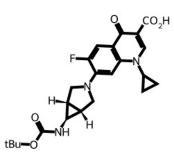 CC(C)(C)OC(=O)N[C@H]1[C@@H]2CN(c3cc4c(cc3F)c(=O)c(C(=O)O)cn4C3CC3)C[C@@H]21